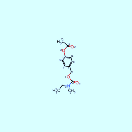 CCN(C)C(=O)OCc1ccc(OC(C)=O)cc1